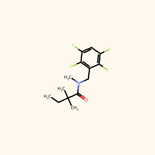 CCC(C)(C)C(=O)N(C)Cc1c(F)c(F)cc(F)c1F